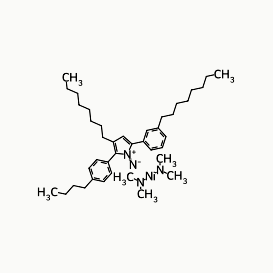 CCCCCCCCC1=C(c2ccc(CCCC)cc2)[N+](=[N-])C(c2cccc(CCCCCCCC)c2)=C1.C[N](C)[Ni][N](C)C